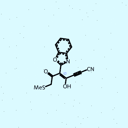 CSCC(=O)/C(=C(\O)C#CC#N)c1nc2ccccc2o1